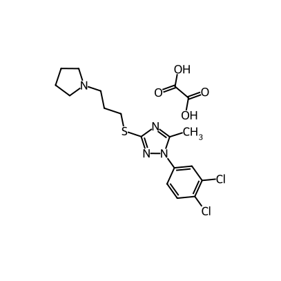 Cc1nc(SCCCN2CCCC2)nn1-c1ccc(Cl)c(Cl)c1.O=C(O)C(=O)O